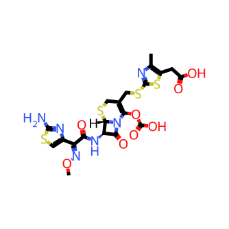 CON=C(C(=O)N[C@@H]1C(=O)N2C(OC(=O)O)=C(CSc3nc(C)c(CC(=O)O)s3)CS[C@@H]12)c1csc(N)n1